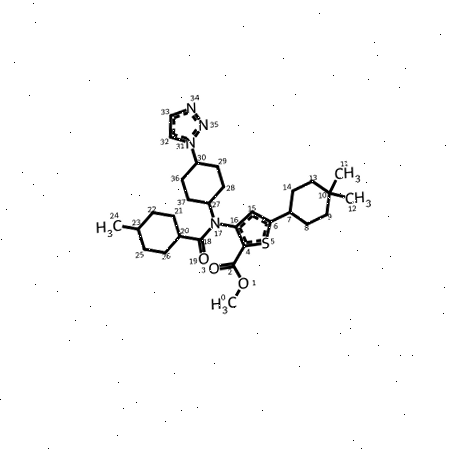 COC(=O)c1sc(C2CCC(C)(C)CC2)cc1N(C(=O)C1CCC(C)CC1)C1CCC(n2ccnn2)CC1